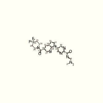 CN(C)C=NC(=O)c1ncc(-n2ccc3cc(C(=O)N4CCC(F)(F)CC4)cnc32)cn1